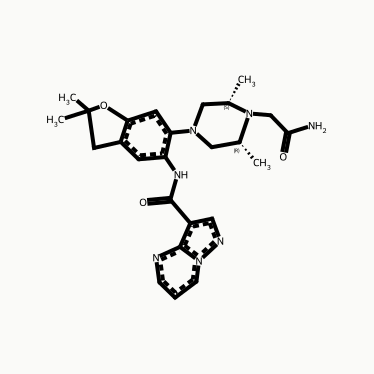 C[C@@H]1CN(c2cc3c(cc2NC(=O)c2cnn4cccnc24)CC(C)(C)O3)C[C@H](C)N1CC(N)=O